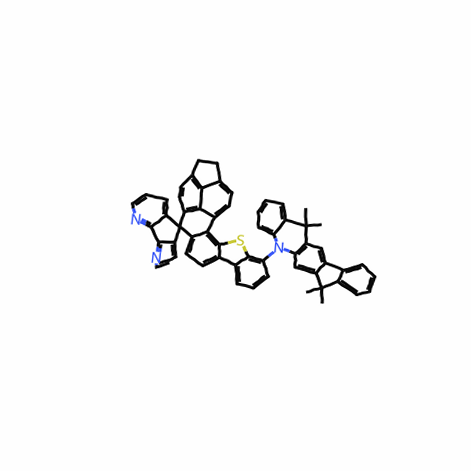 CC1(C)c2ccccc2-c2cc3c(cc21)N(c1cccc2c1sc1c4c(ccc12)C1(c2cccnc2-c2ncccc21)c1ccc2c5c(ccc-4c15)CC2)c1ccccc1C3(C)C